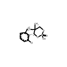 CC1(C)COP(=O)(O)O[C@@H]1c1c(Cl)cccc1Cl